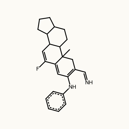 CC12CC(C=N)=C(Nc3ccccc3)C=C1C(F)=CC1C3CCCC3CCC12